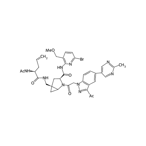 C=CC[C@H](NC(C)=O)C(=O)NC[C@]12CC1N(C(=O)Cn1nc(C(C)=O)c3cc(-c4cnc(C)nc4)ccc31)[C@H](C(=O)Nc1nc(Br)ccc1COC)C2